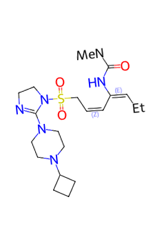 CC/C=C(\C=C/CS(=O)(=O)N1CCN=C1N1CCN(C2CCC2)CC1)NC(=O)NC